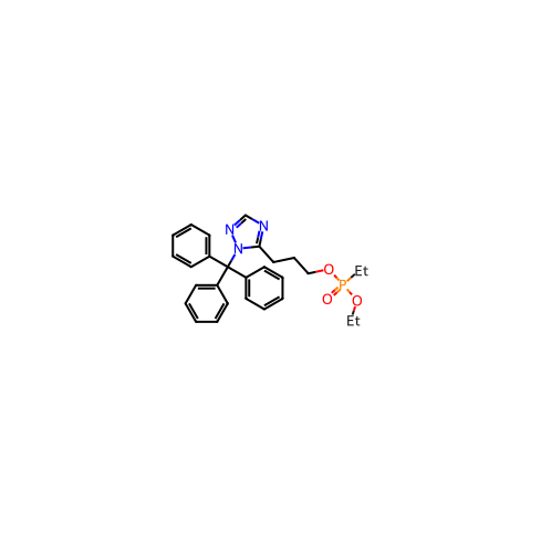 CCOP(=O)(CC)OCCCc1ncnn1C(c1ccccc1)(c1ccccc1)c1ccccc1